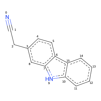 N#CCc1ccc2c(c1)[nH]c1ccccc12